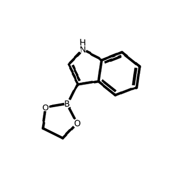 c1ccc2c(B3OCCO3)c[nH]c2c1